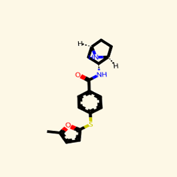 Cc1ccc(Sc2ccc(C(=O)N[C@@H]3C[C@H]4CC[C@@H]3N4)cc2)o1